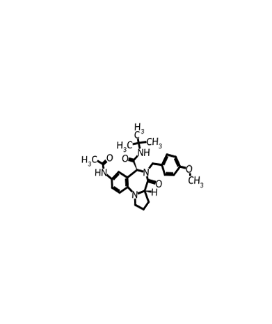 COc1ccc(CN2C(=O)[C@@H]3CCCN3c3ccc(NC(C)=O)cc3[C@H]2C(=O)NC(C)(C)C)cc1